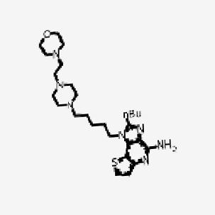 CCCCc1nc2c(N)nc3ccsc3c2n1CCCCCN1CCN(CCN2CCOCC2)CC1